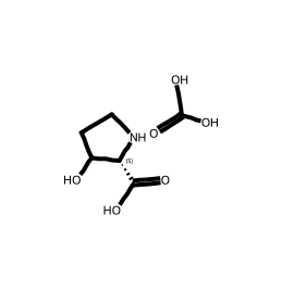 O=C(O)O.O=C(O)[C@H]1NCCC1O